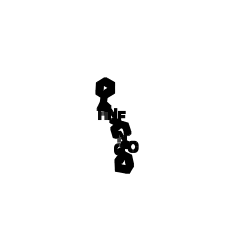 O=C(Oc1ccccc1)N1CCC(F)(CNC2CC2c2ccccc2)CC1